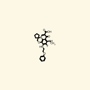 CNc1c(F)c(NCCOc2ccccc2)c2c3c1c(=O)c(C(=O)O)cn3C1(CCCC1)CO2